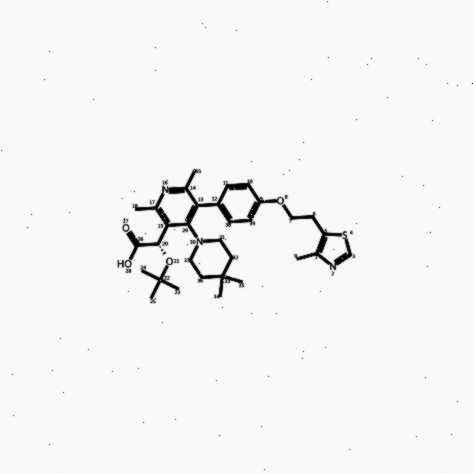 Cc1ncsc1CCOc1ccc(-c2c(C)nc(C)c([C@H](OC(C)(C)C)C(=O)O)c2N2CCC(C)(C)CC2)cc1